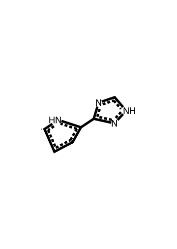 [c]1ccc(-c2nc[nH]n2)[nH]1